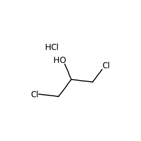 Cl.OC(CCl)CCl